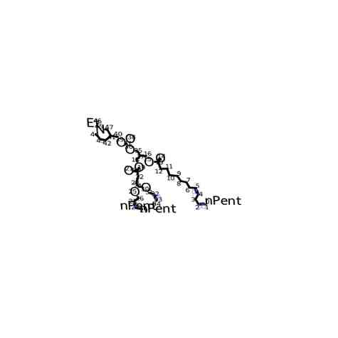 CCCCC/C=C\C/C=C\CCCCCCCC(=O)OCC(COC(=O)CCC(OC/C=C\CCCCC)OC/C=C\CCCCC)COC(=O)OCC1CCCN(CC)C1